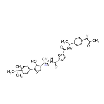 CC(=O)Nc1ccc(C(C)NC(=O)c2ccc(C(=O)N/N=C(\C)c3csc(-c4ccc(C(C)(C)C)cc4)c3O)s2)cc1